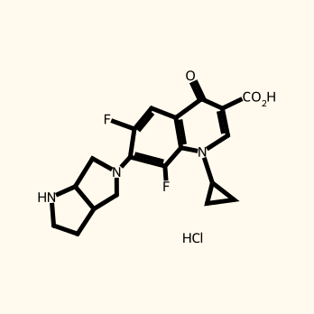 Cl.O=C(O)c1cn(C2CC2)c2c(F)c(N3CC4CCNC4C3)c(F)cc2c1=O